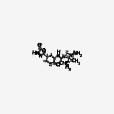 CC(Nc1cc(-c2n[nH]c(=O)o2)ccc1Cl)[C@H]1C[C@@H](N)C1(C)C